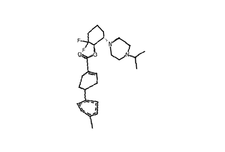 Cc1ccc(C2CC=C(C(=O)O[C@@H]3[C@@H](N4CCN(C(C)C)CC4)CCCC3(F)F)CC2)cc1